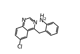 Nc1ccccc1Cc1ncnc2ccc(Cl)cc12